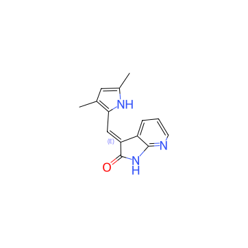 Cc1cc(C)c(/C=C2/C(=O)Nc3ncccc32)[nH]1